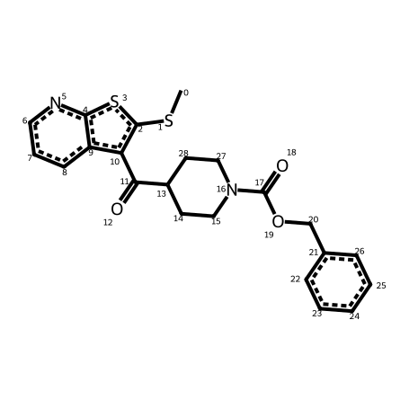 CSc1sc2ncccc2c1C(=O)C1CCN(C(=O)OCc2ccccc2)CC1